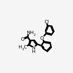 Cc1[nH]c(-c2ccccc2Oc2cccc(Cl)c2)cc1C(N)=O